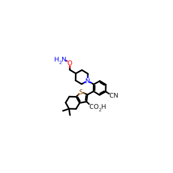 CC1(C)CCc2sc(-c3cc(C#N)ccc3N3CCC(CON)CC3)c(C(=O)O)c2C1